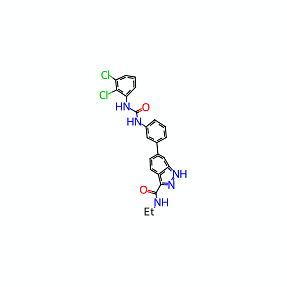 CCNC(=O)c1n[nH]c2cc(-c3cccc(NC(=O)Nc4cccc(Cl)c4Cl)c3)ccc12